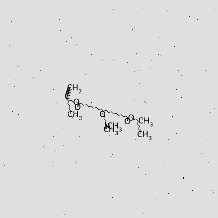 C=C=C=C=CC(CCCCC)CCOC(=O)CCCCCCCCCC(CCCCCCCCCC(=O)OCCC(C)CCCCC)OCCCCN(C)C